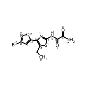 CCc1sc(NC(=O)C(N)=O)nc1-c1cc(Br)no1